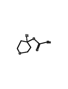 CCC(C)C(=O)OC1(CC)CCOCC1